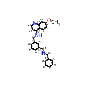 COc1ccc2c(NCc3cccc(CNCc4ccccc4)c3)ccnc2c1